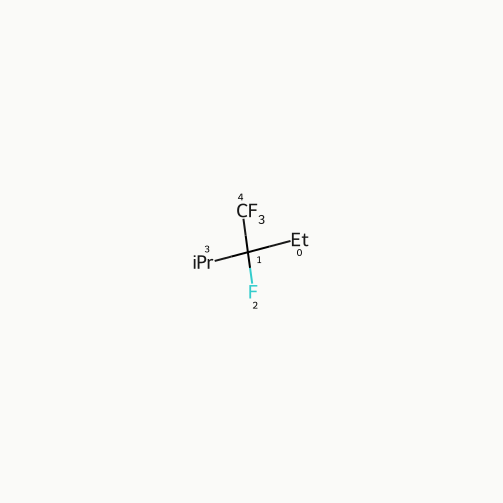 CCC(F)(C(C)C)C(F)(F)F